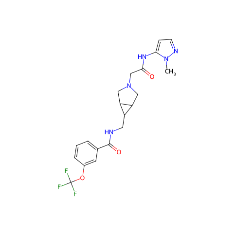 Cn1nccc1NC(=O)CN1CC2C(CNC(=O)c3cccc(OC(F)(F)F)c3)C2C1